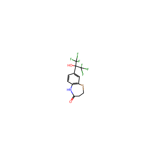 O=C1CCSc2cc(C(O)(C(F)(F)F)C(F)(F)F)ccc2N1